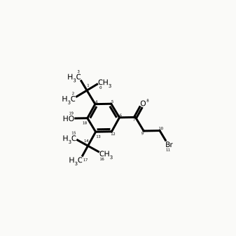 CC(C)(C)c1cc(C(=O)CCBr)cc(C(C)(C)C)c1O